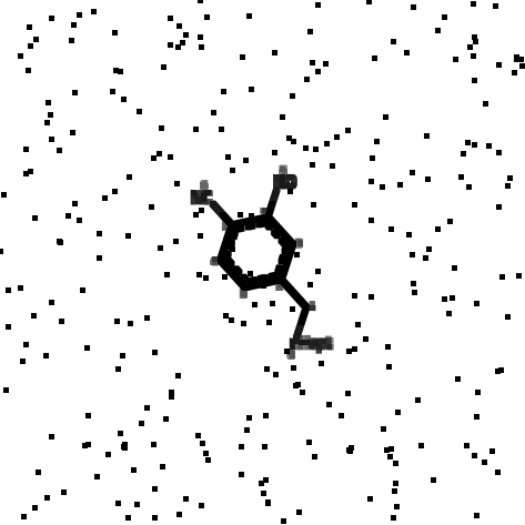 CCCCCCCCc1ccc(C#N)c(N=O)c1